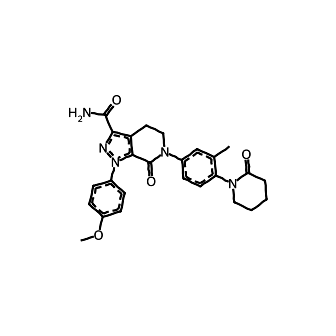 COc1ccc(-n2nc(C(N)=O)c3c2C(=O)N(c2ccc(N4CCCCC4=O)c(C)c2)CC3)cc1